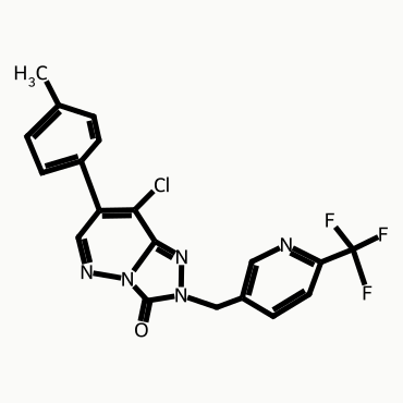 Cc1ccc(-c2cnn3c(=O)n(Cc4ccc(C(F)(F)F)nc4)nc3c2Cl)cc1